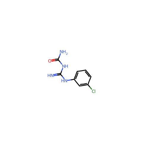 N=C(NC(N)=O)Nc1cccc(Cl)c1